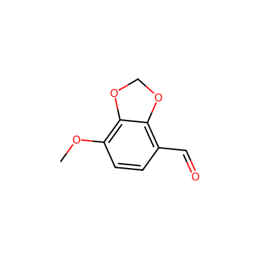 COc1ccc(C=O)c2c1OCO2